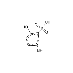 [NH]c1ccc(O)c(S(=O)(=O)O)c1